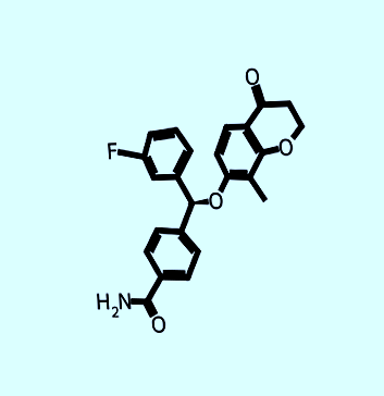 Cc1c(O[C@@H](c2ccc(C(N)=O)cc2)c2cccc(F)c2)ccc2c1OCCC2=O